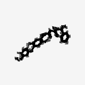 CC(NC(=O)CC(=O)Nc1cc(F)c(Oc2ccnc(N)c2)cc1F)c1ccccc1